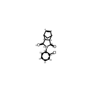 O=C1C2C3C=CC(C3)C2C(=O)N1c1ccccc1Cl